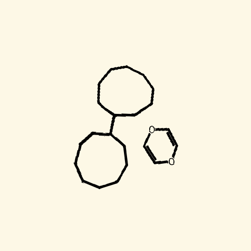 C1=COC=CO1.C1CCCCC(C2CCCCCCCC2)CCC1